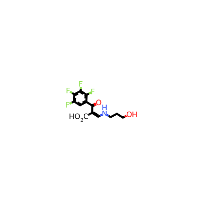 O=C(O)/C(=C/NCCCO)C(=O)c1cc(F)c(F)c(F)c1F